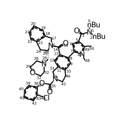 CCCCN(CCCC)C(=O)c1cc(-c2cc3c(cc2C(=O)N2Cc4ccccc4C[C@H]2CN2CCOCC2)CN(C(=O)Oc2ccccc2Cl)CC3)n(C)c1C